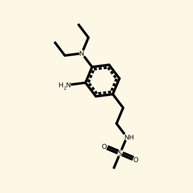 CCN(CC)c1ccc(CCNS(C)(=O)=O)cc1N